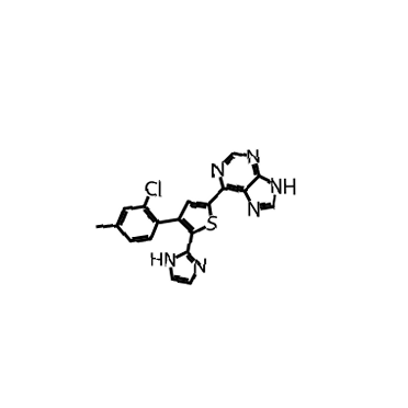 Cc1ccc(-c2cc(-c3ncnc4[nH]cnc34)sc2-c2ncc[nH]2)c(Cl)c1